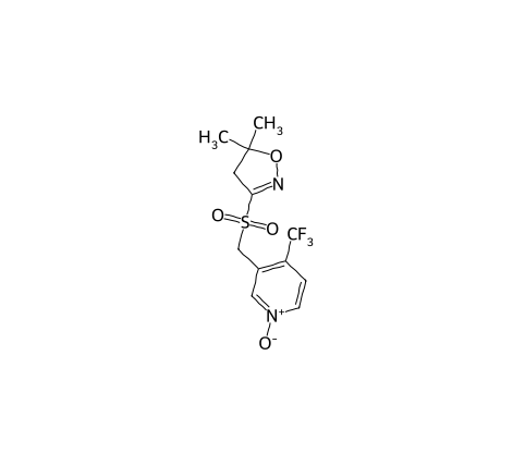 CC1(C)CC(S(=O)(=O)Cc2c[n+]([O-])ccc2C(F)(F)F)=NO1